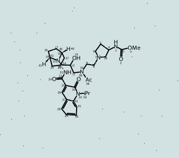 COC(=O)NC1CCN(CCN(CC(O)CN2[C@@H]3CC[C@H]2C[C@@H](NC(=O)c2cc4ccccc4n(C(C)C)c2=O)C3)C(C)=O)C1